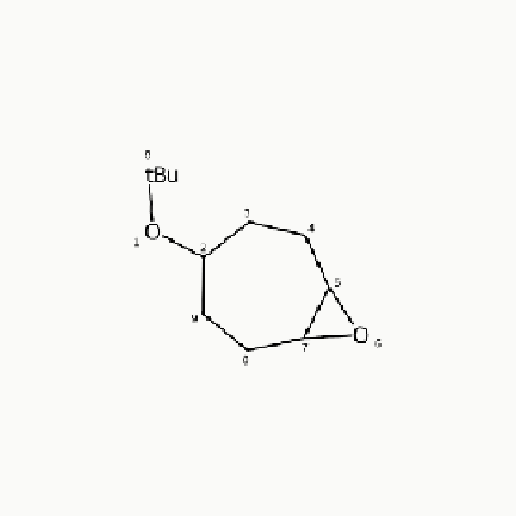 CC(C)(C)OC1CCC2OC2CC1